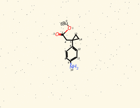 CC(C)(C)OC(=O)CC1(c2ccc(N)cc2)CC1